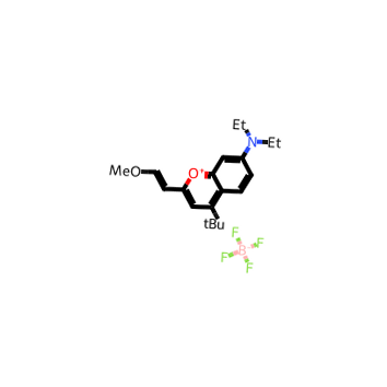 CCN(CC)c1ccc2c(C(C)(C)C)cc(C=COC)[o+]c2c1.F[B-](F)(F)F